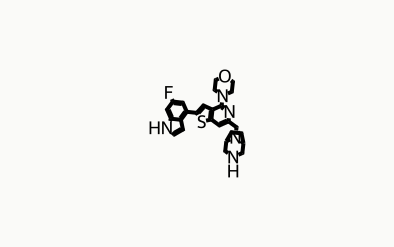 Fc1cc(-c2cc3c(N4CCOCC4)nc(CN4C5CCC4CNC5)cc3s2)c2cc[nH]c2c1